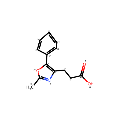 Cc1nc(CCC(=O)O)c(-c2ccccc2)o1